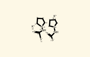 S=C([S-])NN1CCCC1.S=C([S-])NN1CCCC1.[K+].[K+]